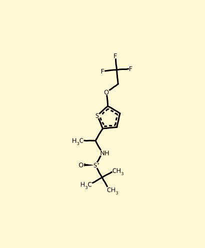 CC(N[S@+]([O-])C(C)(C)C)c1ccc(OCC(F)(F)F)s1